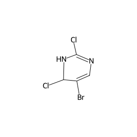 ClC1=NC=C(Br)C(Cl)N1